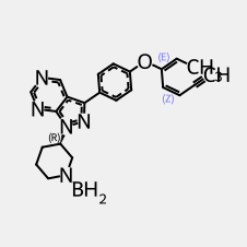 BN1CCC[C@@H](n2nc(-c3ccc(OC(/C=C\C#C)=C/C)cc3)c3cncnc32)C1